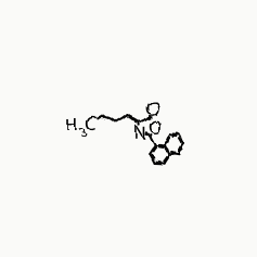 CCC/C=C1\N=C(c2cccc3ccccc23)OC1=O